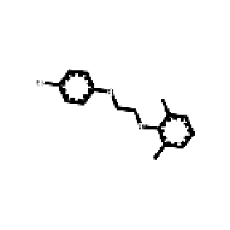 CCc1ccc(OCCOc2c(C)cccc2C)cc1